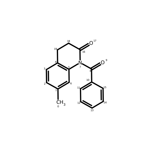 Cc1ccc2c(c1)N(C(=O)c1ccccc1)C(=O)CC2